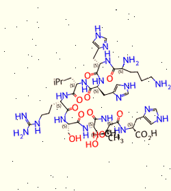 CC(C)C[C@H](NC(=O)[C@H](Cc1c[nH]cn1)NC(=O)[C@H](Cc1c[nH]cn1)NC(=O)[C@@H](N)CCCCN)C(=O)N[C@@H](CCCNC(=N)N)C(=O)N[C@@H](CO)C(=O)N[C@H](C(=O)N[C@H](C(=O)N[C@@H](Cc1c[nH]cn1)C(=O)O)[C@@H](C)O)[C@@H](C)O